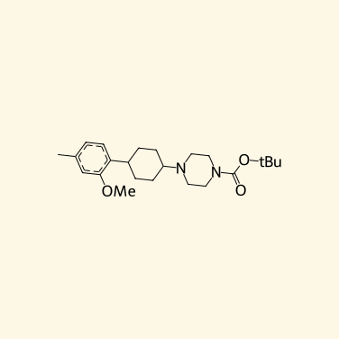 COc1cc(C)ccc1C1CCC(N2CCN(C(=O)OC(C)(C)C)CC2)CC1